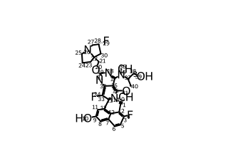 C#Cc1c(F)ccc2cc(O)cc(-c3nc4c5c(nc(OC[C@@]67CCCN6C[C@H](F)C7)nc5c3F)N(C)C(CO)CO4)c12